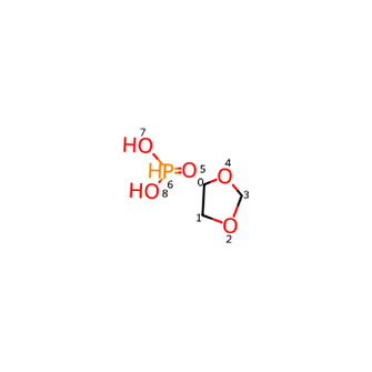 C1COCO1.O=[PH](O)O